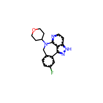 Fc1ccc2c(c1)-c1n[nH]c3ccnc(c13)N(C1CCOCC1)C2